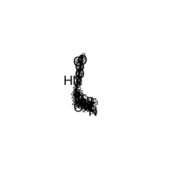 CCOC(=O)COCCOCCNCCCCc1ccc(N2C(=S)N(c3ccc(C#N)c(C(F)(F)F)c3)C(=O)C2(C)C)cc1